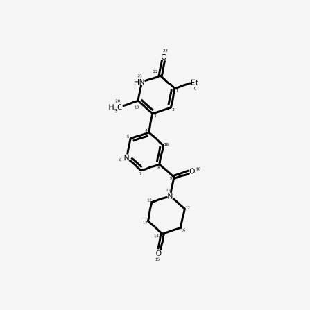 CCc1cc(-c2cncc(C(=O)N3CCC(=O)CC3)c2)c(C)[nH]c1=O